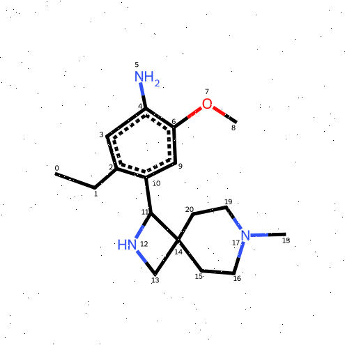 CCc1cc(N)c(OC)cc1C1NCC12CCN(C)CC2